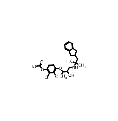 CCC(=O)Oc1ccc(OC(C)C(O)CNC(C)(C)CC2Cc3ccccc3C2)c(Cl)c1Cl